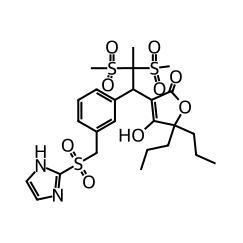 CCCC1(CCC)OC(=O)C(C(c2cccc(CS(=O)(=O)c3ncc[nH]3)c2)C(C)(S(C)(=O)=O)S(C)(=O)=O)=C1O